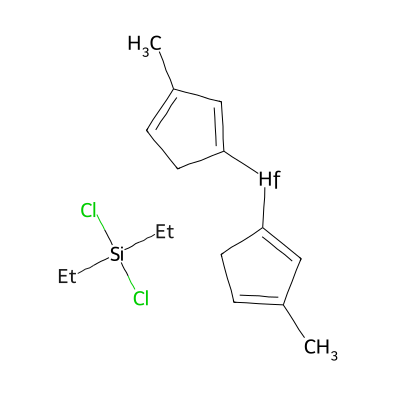 CC1=CC[C]([Hf][C]2=CC(C)=CC2)=C1.CC[Si](Cl)(Cl)CC